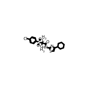 CC(C)(C(=O)Nc1nc(C2CCCCC2)cs1)S(=O)(=O)c1ccc(Cl)cc1